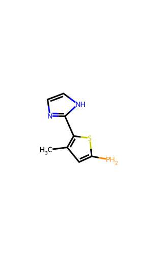 Cc1cc(P)sc1-c1ncc[nH]1